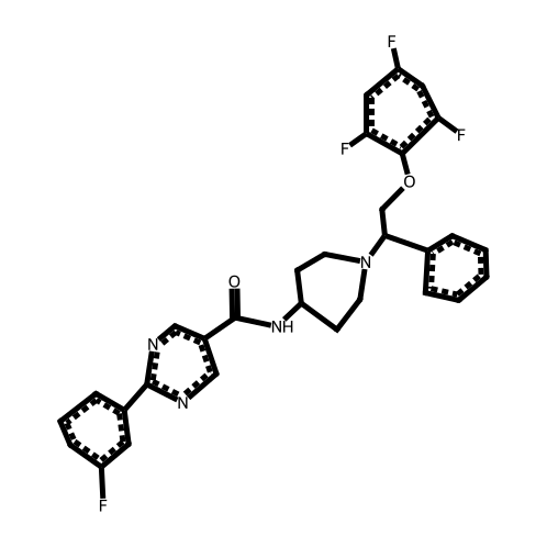 O=C(NC1CCN(C(COc2c(F)cc(F)cc2F)c2ccccc2)CC1)c1cnc(-c2cccc(F)c2)nc1